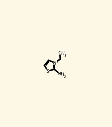 CC[n+]1ccsc1N